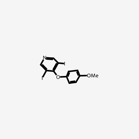 COc1ccc(Oc2c(I)cncc2I)cc1